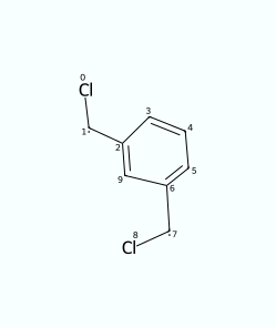 Cl[CH]c1cccc([CH]Cl)c1